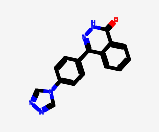 O=c1[nH]nc(-c2ccc(-n3cnnc3)cc2)c2ccccc12